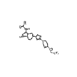 CCC(=O)Nc1c[nH]c2ccc(-c3cnn(-c4ccc(OCC(F)(F)F)cc4)c3)cc12